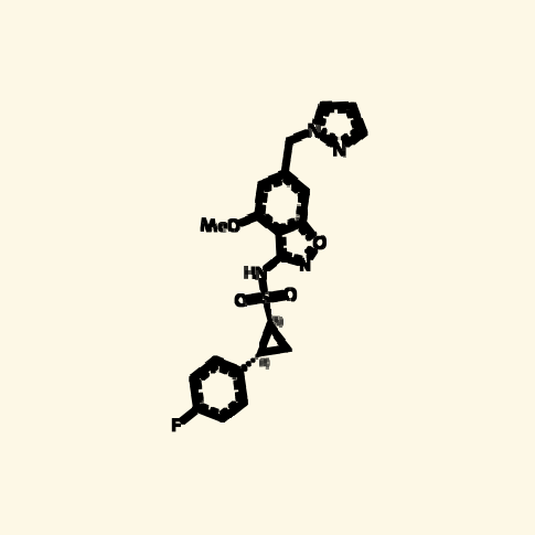 COc1cc(Cn2cccn2)cc2onc(NS(=O)(=O)[C@H]3C[C@@H]3c3ccc(F)cc3)c12